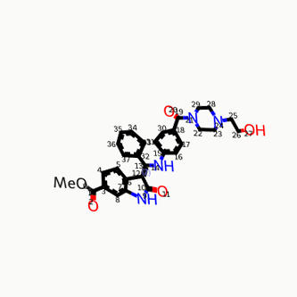 COC(=O)c1ccc2c(c1)NC(=O)/C2=C(\Nc1ccc(C(=O)N2CCN(CCO)CC2)cc1)c1ccccc1